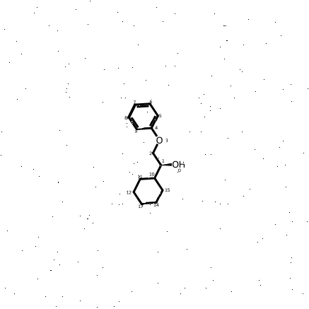 O[C@H](COc1ccccc1)C1CCCCC1